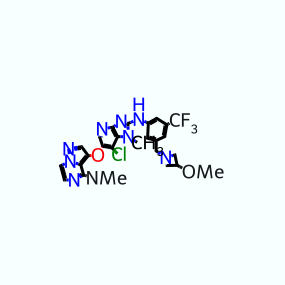 CNc1nccn2ncc(Oc3cnc4nc(Nc5cc(CN6CC(OC)C6)cc(C(F)(F)F)c5)n(C)c4c3Cl)c12